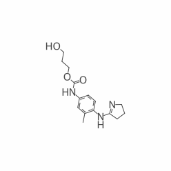 Cc1cc(NC(=O)OCCCO)ccc1NC1=NCCC1